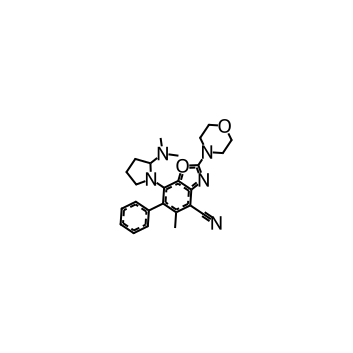 Cc1c(-c2ccccc2)c(N2CCCC2N(C)C)c2oc(N3CCOCC3)nc2c1C#N